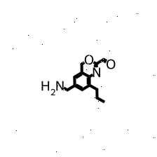 CCCc1cc(CN)cc2c1N=C(C=O)OC2